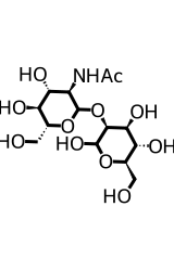 CC(=O)N[C@H]1C(O[C@@H]2C(O)O[C@H](CO)[C@@H](O)[C@@H]2O)O[C@H](CO)[C@@H](O)[C@@H]1O